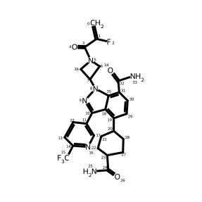 C=C(F)C(=O)N1CC(n2nc(-c3ccc(C(F)(F)F)nc3)c3c(C4CCC(C(N)=O)CC4)ccc(C(N)=O)c32)C1